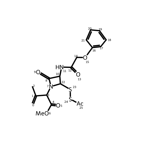 C=C(C)C(C(=O)OC)N1C(=O)C(NC(=O)COc2ccccc2)C1SSC(C)=O